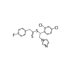 Fc1ccc(CC(=S)SC(Cn2ccnc2)c2ccc(Cl)cc2Cl)cc1